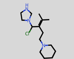 CC(C)=C(CCN1CCCCC1)C(Cl)N1CCNC1